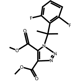 COC(=O)c1nnn(C(C)(C)c2c(F)cccc2F)c1C(=O)OC